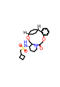 O=C1COc2ccccc2[C@H]2CC[C@H](CC2)OCC2[C@@H](NS(=O)(=O)CC3CCC3)CCCN12